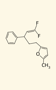 Cc1ccc(CCC(C=C(F)F)c2ccccc2)o1